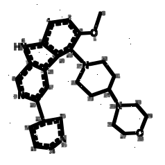 COc1ccc2[nH]c3cnc(-c4cccnc4)cc3c2c1N1CCC(N2CCOCC2)CC1